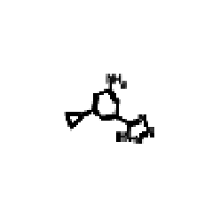 Nc1cc(-c2nnn[nH]2)cc(C2CC2)c1